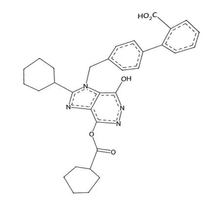 O=C(O)c1ccccc1-c1ccc(Cn2c(C3CCCCC3)nc3c(OC(=O)C4CCCCC4)nnc(O)c32)cc1